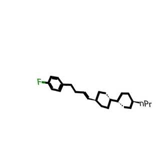 CCC[C@H]1CC[C@H]([C@H]2CC[C@H](C=CCCc3ccc(F)cc3)CC2)CC1